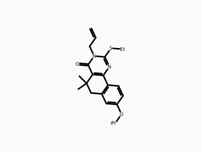 C=CCn1c(SCC)nc2c(c1=O)C(C)(C)Cc1cc(OC(C)C)ccc1-2